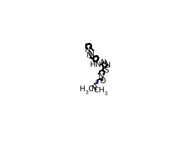 CN(C)C/C=C/C(=O)N1CCc2c(sc3ncnc(Nc4ccc5c(cnn5Cc5ccccn5)c4)c23)C1